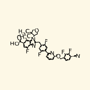 CC1(C)COCC1n1c(Cc2cc(F)c(-c3cccc(OCc4ccc(C#N)c(F)c4F)n3)cc2F)nc2c(F)cc(C(=O)O)cc21